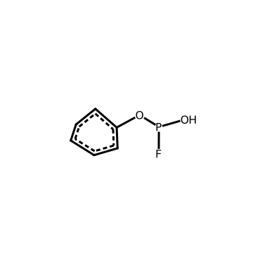 OP(F)Oc1ccccc1